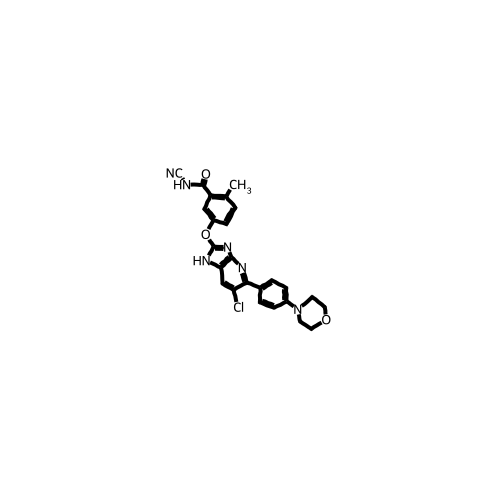 Cc1ccc(Oc2nc3nc(-c4ccc(N5CCOCC5)cc4)c(Cl)cc3[nH]2)cc1C(=O)NC#N